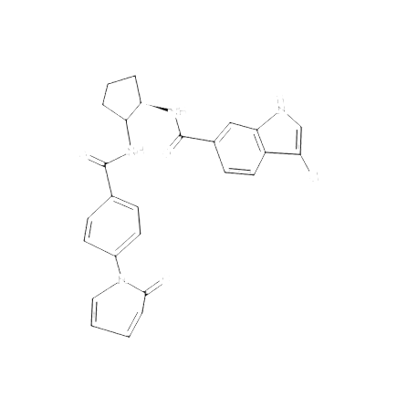 O=C(NC1CCC[C@H]1NC(=O)c1ccc2c(Cl)c[nH]c2c1)c1ccc(-n2ccccc2=O)cc1